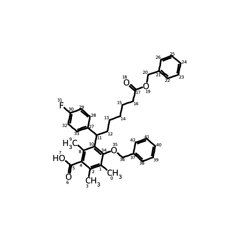 Cc1c(C)c(C(=O)O)c(C)c(C(CCCCCC(=O)OCc2ccccc2)c2ccc(F)cc2)c1OCc1ccccc1